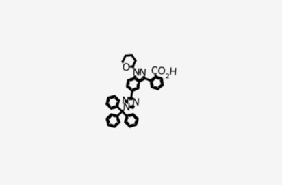 O=C(O)c1ccccc1-c1nn(C2CCCCO2)c2ccc(-c3ncn(C(c4ccccc4)(c4ccccc4)c4ccccc4)n3)cc12